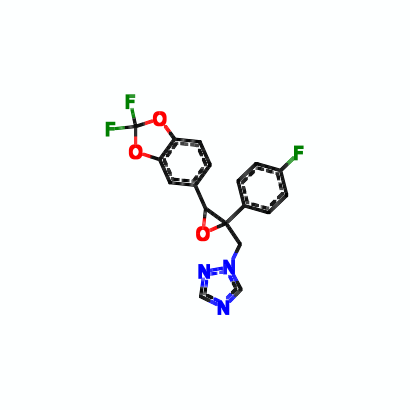 Fc1ccc(C2(Cn3cncn3)OC2c2ccc3c(c2)OC(F)(F)O3)cc1